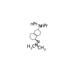 CCCN(CCC)C1CCC2=C(CCCC2=NN(C)C)C1